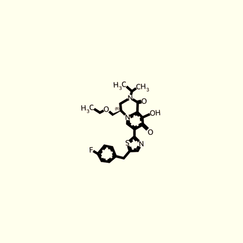 CCOC[C@H]1CN(C(C)C)C(=O)c2c(O)c(=O)c(-c3ncc(Cc4ccc(F)cc4)s3)cn21